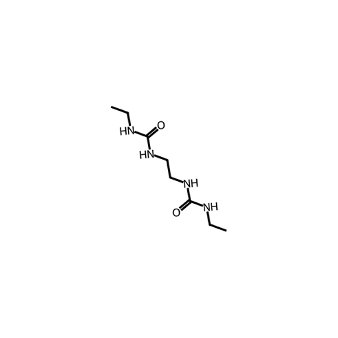 CCNC(=O)NCCNC(=O)NCC